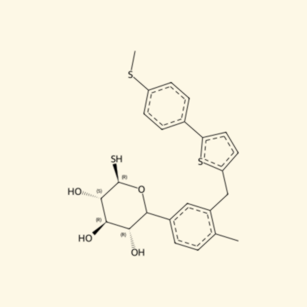 CSc1ccc(-c2ccc(Cc3cc(C4O[C@H](S)[C@@H](O)[C@H](O)[C@H]4O)ccc3C)s2)cc1